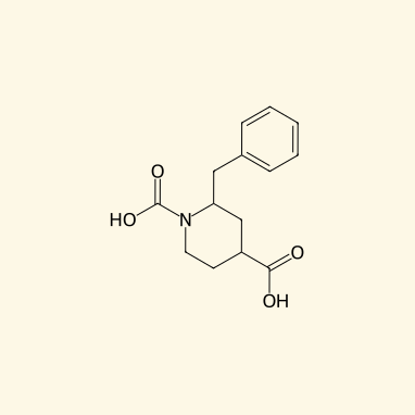 O=C(O)C1CCN(C(=O)O)C(Cc2ccccc2)C1